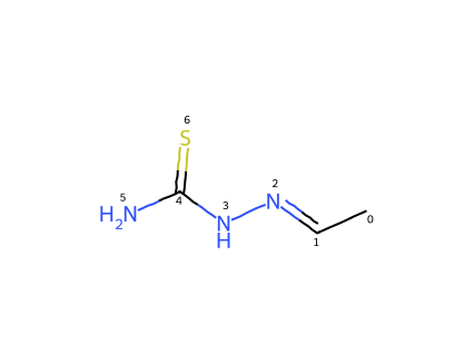 CC=NNC(N)=S